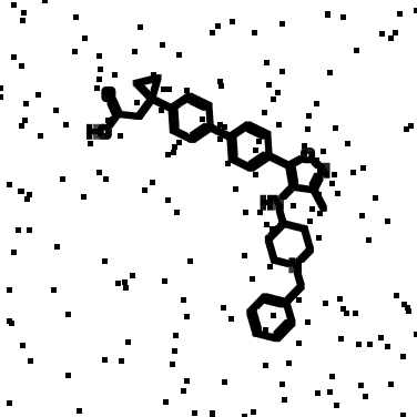 Cc1noc(-c2ccc(-c3ccc(C4(CC(=O)O)CC4)cc3)cc2)c1NC1CCN(Cc2ccccc2)CC1